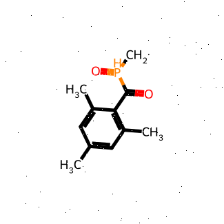 [CH2][PH](=O)C(=O)c1c(C)cc(C)cc1C